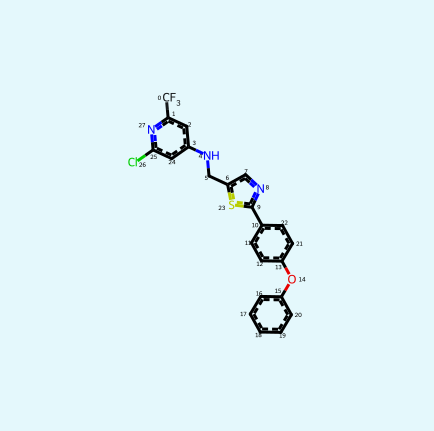 FC(F)(F)c1cc(NCc2cnc(-c3ccc(Oc4ccccc4)cc3)s2)cc(Cl)n1